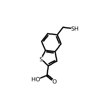 O=C(O)c1cc2cc(CS)ccc2s1